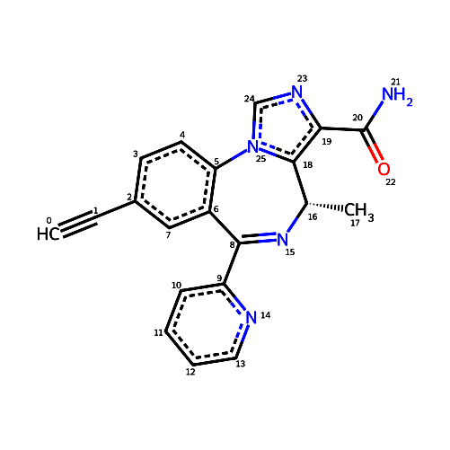 C#Cc1ccc2c(c1)C(c1ccccn1)=N[C@@H](C)c1c(C(N)=O)ncn1-2